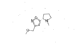 COCc1cc([C@@H]2CCCN2C)on1